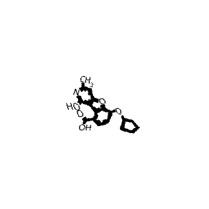 Cc1cc2oc3c(OC4CCCC4)ccc(C(=O)O)c3c2c(O)n1